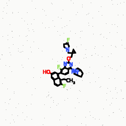 CCc1c(F)ccc2cc(O)cc(-c3ccc4c(N5CC6CCC(C5)N6)nc(OCC5(CN6CC[C@H](F)C6)CC5)nc4c3F)c12